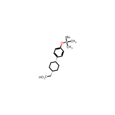 CC(C)(C)[Si](C)(C)Oc1ccc([C@H]2CC[C@@H](CC(=O)O)CC2)cc1